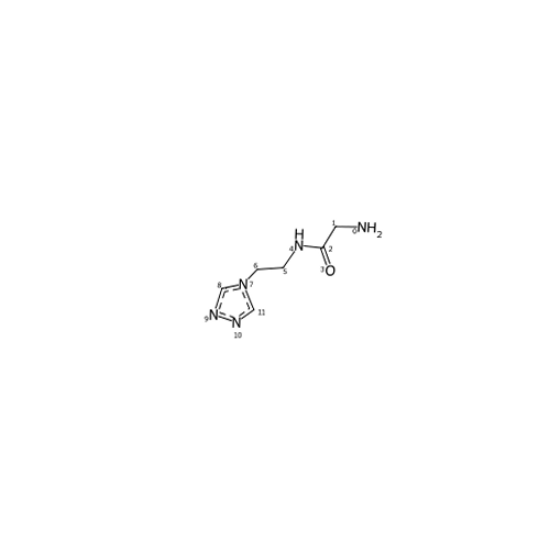 NCC(=O)NCCn1[c]nnc1